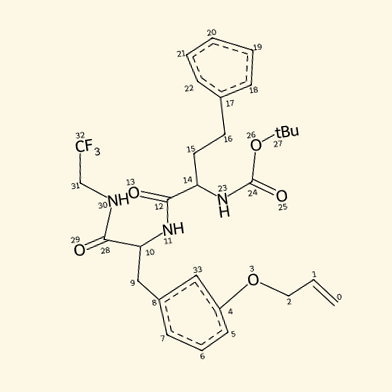 C=CCOc1cccc(CC(NC(=O)C(CCc2ccccc2)NC(=O)OC(C)(C)C)C(=O)NCC(F)(F)F)c1